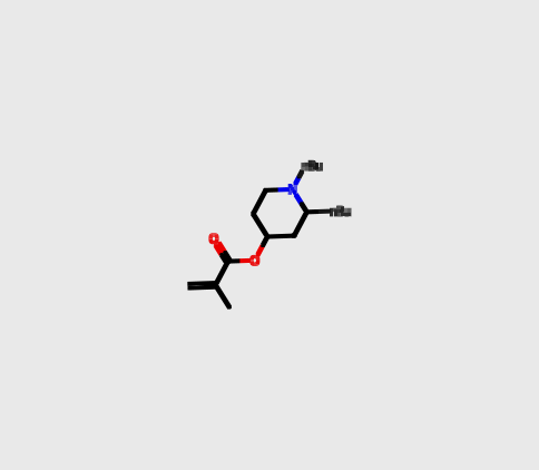 C=C(C)C(=O)OC1CCN(CCCC)C(CCCC)C1